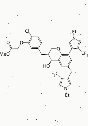 CCn1cc(Cc2cc(-c3cn(CC)nc3C(F)(F)F)c3c(c2)[C@@H](O)[C@@H](Cc2ccc(Cl)c(OCC(=O)OC)c2)CO3)c(C(F)(F)F)n1